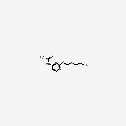 CCCCCOc1nccc(NC(C)=O)n1